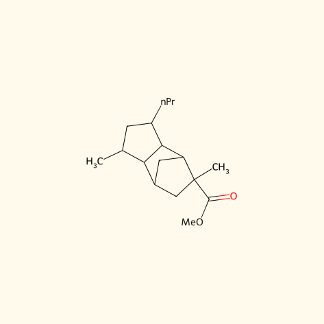 CCCC1CC(C)C2C3CC(C12)C(C)(C(=O)OC)C3